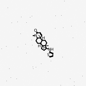 CN1C(=O)C=C[C@@]2(C)C1CC[C@@H]1[C@H]2CC[C@]2(C)C(Nc3cccs3)CC[C@@H]12